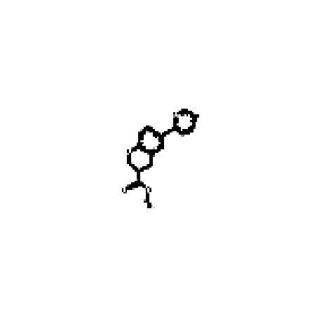 CC(C)(C)OC(=O)C1COc2ccc(-c3ccccn3)cc2C1